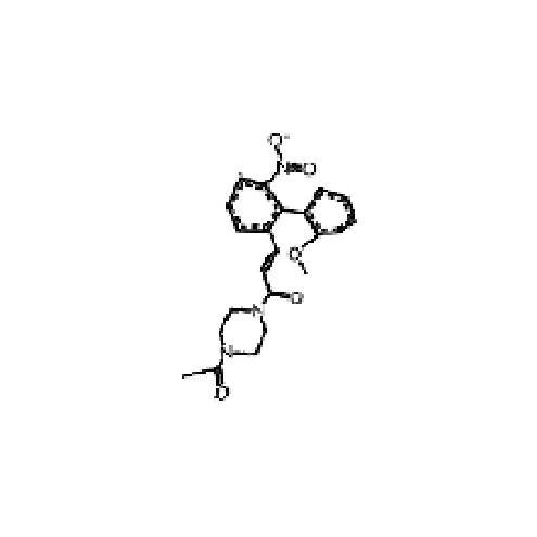 COc1ccccc1-c1c([N+](=O)[O-])[c]ccc1/C=C/C(=O)N1CCN(C(C)=O)CC1